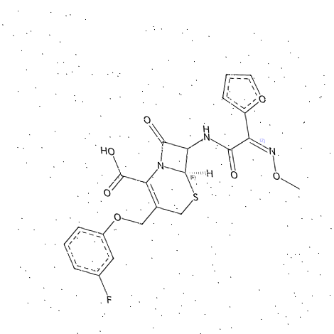 CO/N=C(\C(=O)NC1C(=O)N2C(C(=O)O)=C(COc3cccc(F)c3)CS[C@H]12)c1ccco1